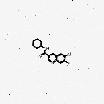 O=C(NC1CCCCC1)c1cnc2cc(F)c(Cl)cc2c1